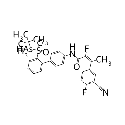 CC(=C(F)C(=O)Nc1ccc(-c2ccccc2S(=O)(=O)[AsH]C(C)(C)C)cc1)c1ccc(F)c(C#N)c1